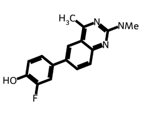 CNc1nc(C)c2cc(-c3ccc(O)c(F)c3)ccc2n1